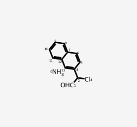 N.O=CC(Cl)c1ccc2ccccc2c1